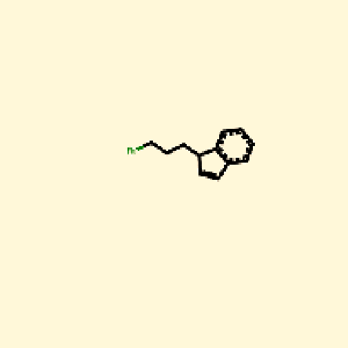 BrCCCC1C=Cc2ccccc21